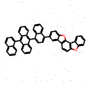 c1ccc2c(-c3c4ccccc4c(-c4ccc(-c5ccc6oc7c(ccc8oc9ccccc9c87)c6c5)c5ccccc45)c4ccccc34)cccc2c1